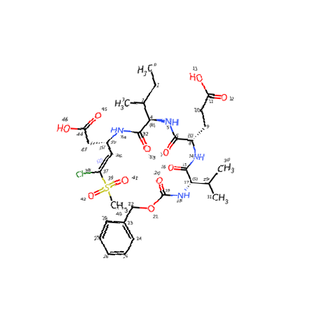 CCC(C)[C@@H](NC(=O)[C@H](CCC(=O)O)NC(=O)[C@@H](NC(=O)OCc1ccccc1)C(C)C)C(=O)N[C@H](/C=C(\Cl)S(C)(=O)=O)CC(=O)O